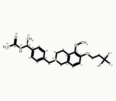 COc1c(OCCC(F)(F)F)ccc2c1CCN(Cc1ccc([C@H](C)NC(C)=O)cc1)C2